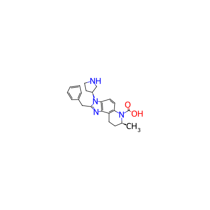 C[C@H]1CCc2c(ccc3c2nc(Cc2ccccc2)n3[C@H]2CCNC2)N1C(=O)O